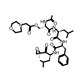 CC(=O)N[C@@H](COC(=O)CN1CCOCC1)C(=O)N[C@@H](CC(C)C)C(=O)N[C@@H](Cc1ccccc1)C(=O)N[C@@H](CC(C)C)C(=O)[C@@]1(C)CO1